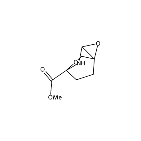 COC(=O)C12CCC3(CC1)OC3N2